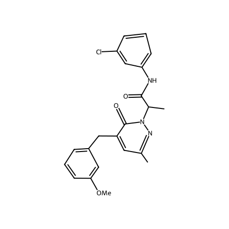 COc1cccc(Cc2cc(C)nn(C(C)C(=O)Nc3cccc(Cl)c3)c2=O)c1